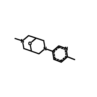 Cc1ccc(N2CC3CN(C)CC(C2)O3)cn1